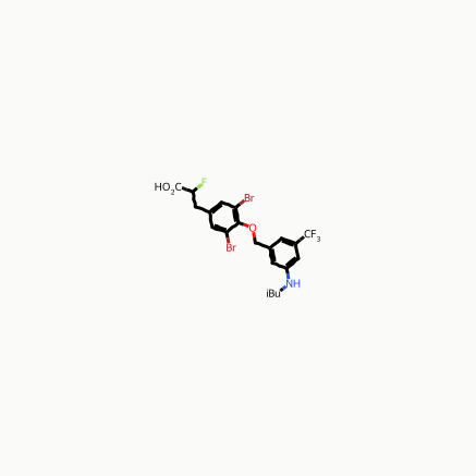 CCC(C)Nc1cc(COc2c(Br)cc(CC(F)C(=O)O)cc2Br)cc(C(F)(F)F)c1